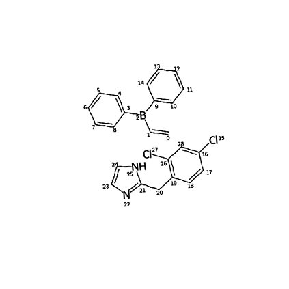 C=CB(c1ccccc1)c1ccccc1.Clc1ccc(Cc2ncc[nH]2)c(Cl)c1